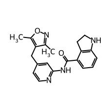 Cc1noc(C)c1Cc1ccnc(NC(=O)c2cccc3c2CCN3)c1